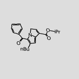 CCCCc1cc2n(c1C(=O)c1ccccc1)CC=C2C(=O)OC(C)C